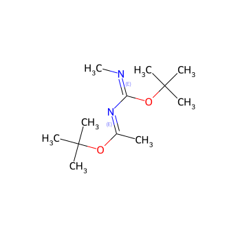 C/N=C(\N=C(/C)OC(C)(C)C)OC(C)(C)C